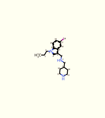 CCCn1cc(CNCC2CCNCC2)c2cc(I)ccc21